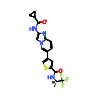 C[C@H](NC(=O)c1cc(-c2ccc3nc(NC(=O)C4CC4)cn3c2)cs1)C(F)(F)F